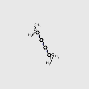 C=CCOc1ccc(/C=C/c2ccc(/C=C/c3ccc(/C=C/c4ccc(OCC=C)c(OC)c4)cc3)cc2)cc1OC